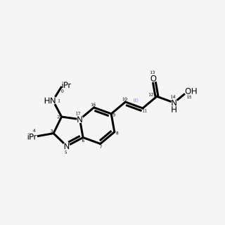 CC(C)NC1C(C(C)C)N=C2C=CC(/C=C/C(=O)NO)=CN21